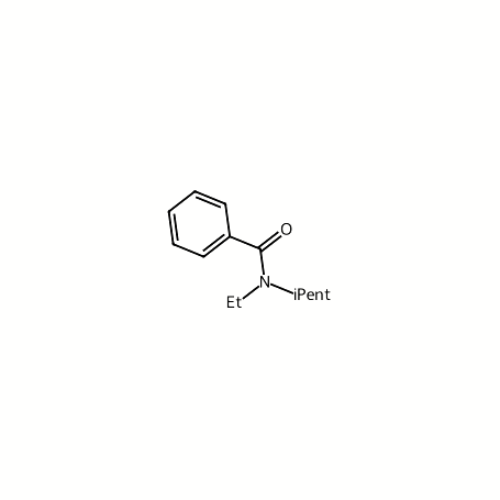 CCCC(C)N(CC)C(=O)c1ccccc1